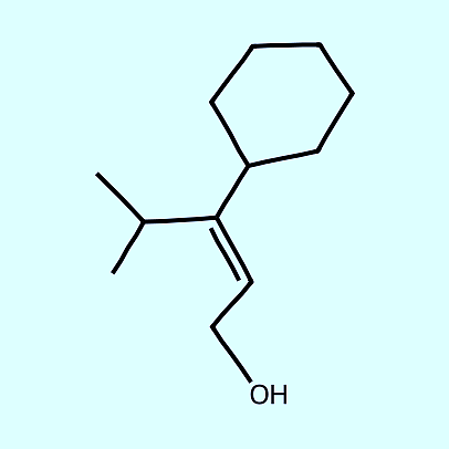 CC(C)C(=CCO)C1CCCCC1